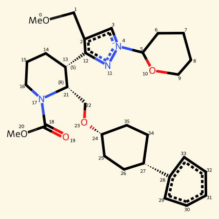 COCc1cn(C2CCCCO2)nc1[C@H]1CCCN(C(=O)OC)[C@H]1CO[C@H]1CC[C@@H](c2ccccc2)CC1